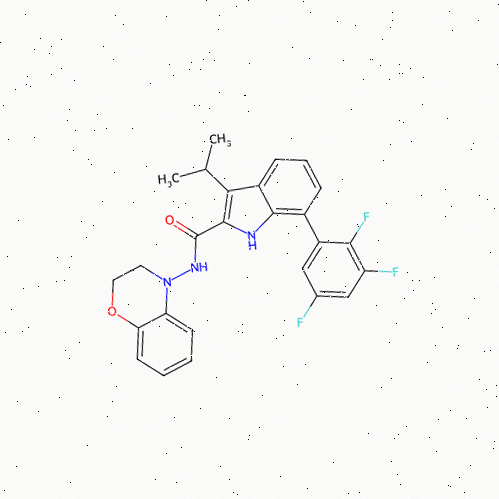 CC(C)c1c(C(=O)NN2CCOc3ccccc32)[nH]c2c(-c3cc(F)cc(F)c3F)cccc12